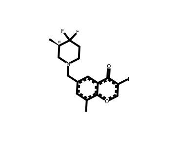 Cc1cc(CN2CCC(F)(F)[C@H](C)C2)cc2c(=O)c(I)coc12